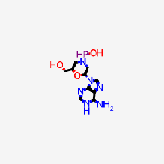 NC1NC=Nc2c1ncn2C1CN(PO)CC(CO)O1